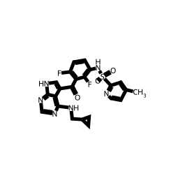 Cc1ccnc(S(=O)(=O)Nc2ccc(F)c(C(=O)c3c[nH]c4ncnc(NCC5CC5)c34)c2F)c1